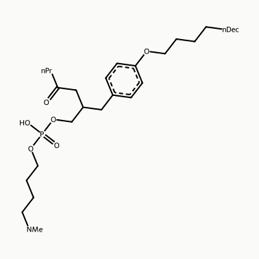 CCCCCCCCCCCCCCOc1ccc(CC(COP(=O)(O)OCCCCNC)CC(=O)CCC)cc1